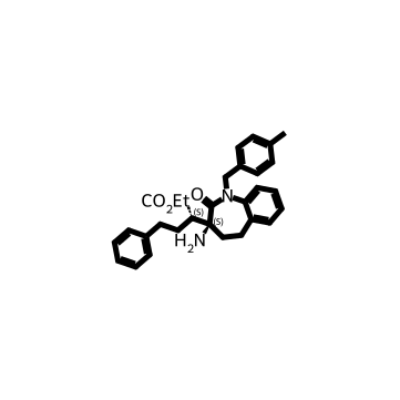 CCOC(=O)[C@@H](CCc1ccccc1)[C@@]1(N)CCc2ccccc2N(Cc2ccc(C)cc2)C1=O